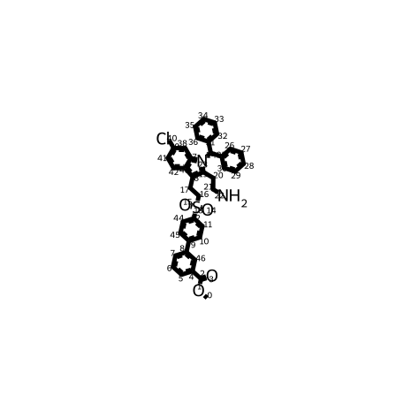 COC(=O)c1cccc(-c2ccc(S(=O)(=O)CCc3c(CCN)n(C(c4ccccc4)c4ccccc4)c4cc(Cl)ccc34)cc2)c1